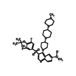 CN1CCN(C2CCN(C3CCN(c4c(S(=O)(=O)c5cc(F)c(OC(C)(C)C)c(F)c5)cnc5ccc([S+](C)[O-])cc45)CC3)CC2)CC1